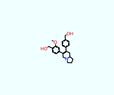 COc1cc(C2=C(c3ccc(CO)cc3)CC3CCCN3C2)ccc1CO